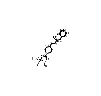 CC(C)(C)OC(=O)N1CCC(CCC(=O)Cc2ccncc2)CC1